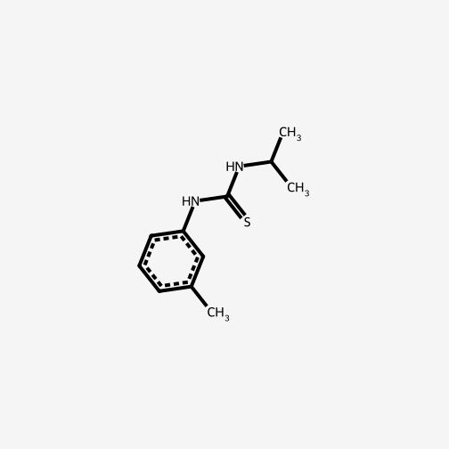 Cc1cccc(NC(=S)NC(C)C)c1